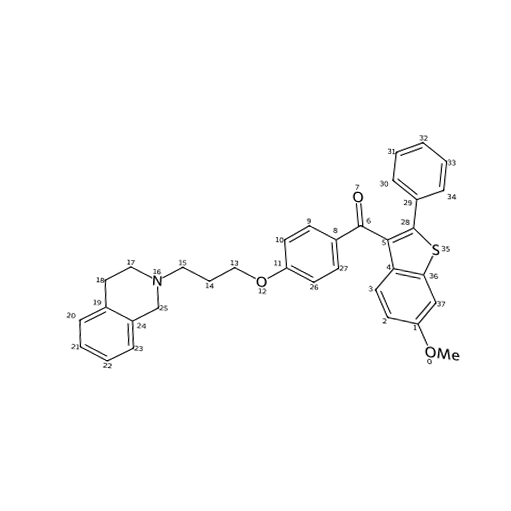 COc1ccc2c(C(=O)c3ccc(OCCCN4CCc5ccccc5C4)cc3)c(-c3ccccc3)sc2c1